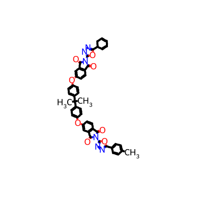 Cc1ccc(-c2nnc(N3C(=O)c4ccc(Oc5ccc(C(C)(C)c6ccc(Oc7ccc8c(c7)C(=O)N(c7nnc(C9C=CC=CC9)o7)C8=O)cc6)cc5)cc4C3=O)o2)cc1